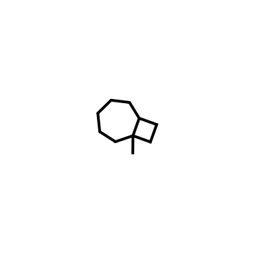 CC12CCCCCC1CC2